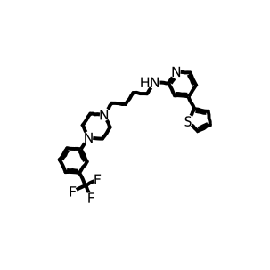 FC(F)(F)c1cccc(N2CCN(CCCCNc3cc(-c4cccs4)ccn3)CC2)c1